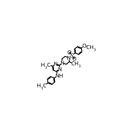 COc1ccc(S(=O)(=O)N2CCN(c3nc(C)cc(Nc4ccc(C)cc4)n3)CC2C)cc1